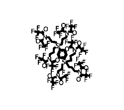 O=C(N(CCC[Si](CCCN(C(=O)C(F)(F)F)C(=O)C(F)(F)F)(CCCN(C(=O)C(F)(F)F)C(=O)C(F)(F)F)c1ccc([Si](CCCN(C(=O)C(F)(F)F)C(=O)C(F)(F)F)(CCCN(C(=O)C(F)(F)F)C(=O)C(F)(F)F)CCCN(C(=O)C(F)(F)F)C(=O)C(F)(F)F)cc1)C(=O)C(F)(F)F)C(F)(F)F